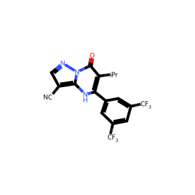 CC(C)c1c(-c2cc(C(F)(F)F)cc(C(F)(F)F)c2)[nH]c2c(C#N)cnn2c1=O